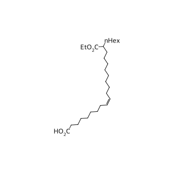 CCCCCCC(CCCCCCCC/C=C\CCCCCCCC(=O)O)C(=O)OCC